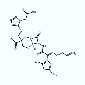 C=CCON=C(C(=O)NC1C(=O)N2CC(CSc3nnnn3CC(=O)O)(C(=O)O)CS[C@H]12)c1nc(N)sc1Cl